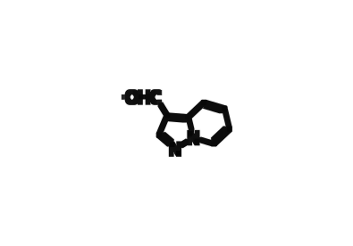 O=[C]c1cnn2ccccc12